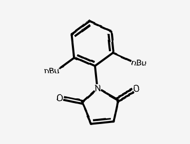 CCCCc1cccc(CCCC)c1N1C(=O)C=CC1=O